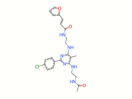 CC(=O)NCCNc1nc(-c2ccc(Cl)cc2)nc(NCCNC(=O)/C=C/c2ccco2)c1C